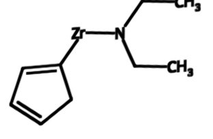 CC[N](CC)[Zr][C]1=CC=CC1